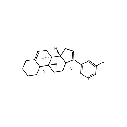 Cc1cncc(C2=CC[C@H]3[C@@H]4CC=C5CCCC[C@]5(C)[C@H]4CC[C@]23C)c1